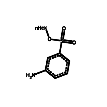 CCCCCCOS(=O)(=O)c1cccc(N)c1